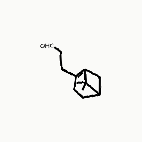 CC1(C)C2=C(CCC=O)CCC1C2